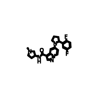 CN1CCC(NC(=O)c2cnn3ccc(N4CCCC4c4cc(F)ccc4F)cc23)C1